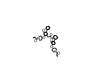 C=CC(=O)N1CCC(Oc2ccc(-c3ccccc3NC(=O)Cc3cc(-c4ccccc4)c(Cl)cc3OC3CCN(C(=O)C=C)CC3)cc2)CC1